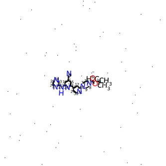 CC(C)(C)OC(=O)N1CCN(c2cc(-c3cc(C#N)cc(Nc4cnccn4)n3)ccn2)CC1